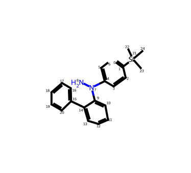 C=C(/C=C\C(=C/C)N(N)c1ccccc1-c1ccccc1)[Si](C)(C)C